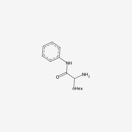 CCCCCCC(N)C(=O)Nc1ccccc1